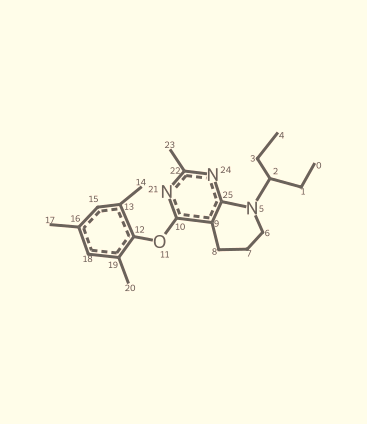 CCC(CC)N1CCCc2c(Oc3c(C)cc(C)cc3C)nc(C)nc21